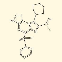 C[C@@H](O)c1nc2c(S(=O)(=O)c3ccccc3)nc3[nH]ccc3c2n1C1CCCCC1